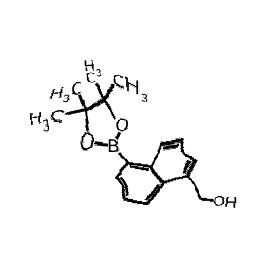 CC1(C)OB(c2cccc3c(CO)cccc23)OC1(C)C